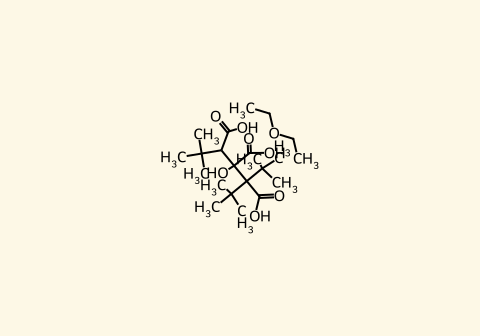 CC(C)(C)C(C(=O)O)C(O)(C(=O)O)C(C(=O)O)(C(C)(C)C)C(C)(C)C.CCOCC